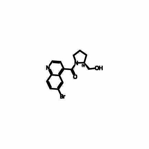 O=C(c1ccnc2ccc(Br)cc12)N1CCC[C@H]1CO